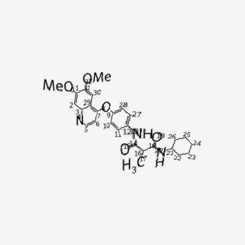 COc1cc2nccc(Oc3ccc(NC(=O)C(C)C(=O)NC4CCCCC4)cc3)c2cc1OC